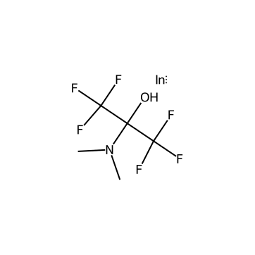 CN(C)C(O)(C(F)(F)F)C(F)(F)F.[In]